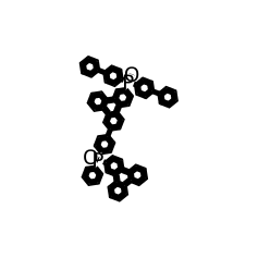 O=P(c1ccccc1)(c1ccc(-c2ccc3c4ccc(P(=O)(c5ccc(-c6ccccc6)cc5)c5ccc(-c6ccccc6)cc5)cc4c4ccccc4c3c2)cc1)c1ccc2c3ccccc3c3ccccc3c2c1